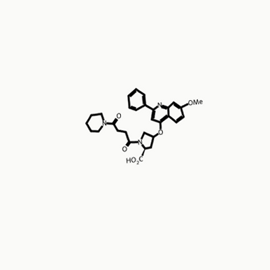 COc1ccc2c(OC3C[C@@H](C(=O)O)N(C(=O)CCC(=O)N4CCCCC4)C3)cc(-c3ccccc3)nc2c1